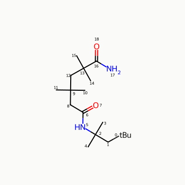 CC(C)(C)CC(C)(C)NC(=O)CC(C)(C)CC(C)(C)C(N)=O